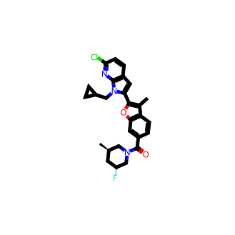 Cc1c(-c2cc3ccc(Cl)nc3n2CC2CC2)oc2cc(C(=O)N3C[C@H](C)C[C@@H](F)C3)ccc12